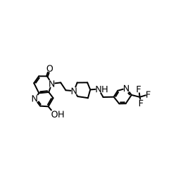 O=c1ccc2ncc(O)cc2n1CCN1CCC(NCc2ccc(C(F)(F)F)nc2)CC1